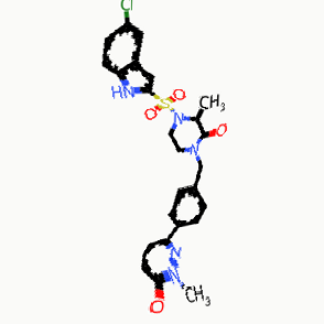 CC1C(=O)N(Cc2ccc(-c3ccc(=O)n(C)n3)cc2)CCN1S(=O)(=O)c1cc2cc(Cl)ccc2[nH]1